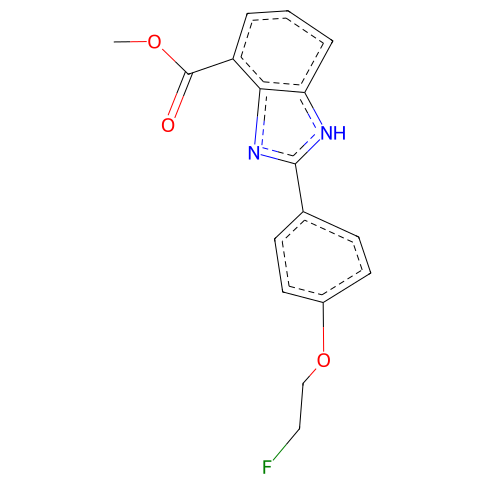 COC(=O)c1cccc2[nH]c(-c3ccc(OCCF)cc3)nc12